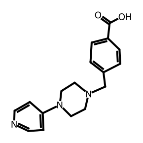 O=C(O)c1ccc(CN2CCN(c3ccncc3)CC2)cc1